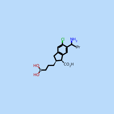 CC(C)C(N)c1cc2c(cc1Cl)C[C@H](CCCB(O)O)[C@@H]2C(=O)O